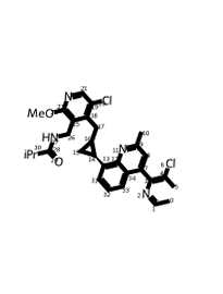 C/C=N\C(=C(/C)Cl)c1cc(C)nc2c([C@H]3CC3Cc3c(Cl)cnc(OC)c3CNC(=O)C(C)C)cccc12